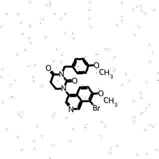 COc1ccc(CN2C(=O)CCN(c3cncc4c(Br)c(OC)ccc34)C2=O)cc1